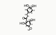 COc1cc(O)c(C(=O)CCc2ccc(O)c(O)c2)c(O)c1